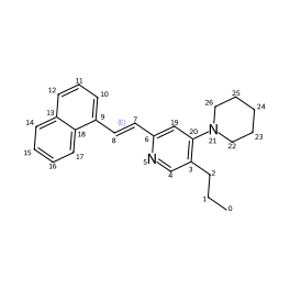 CCCc1cnc(/C=C/c2cccc3ccccc23)cc1N1CCCCC1